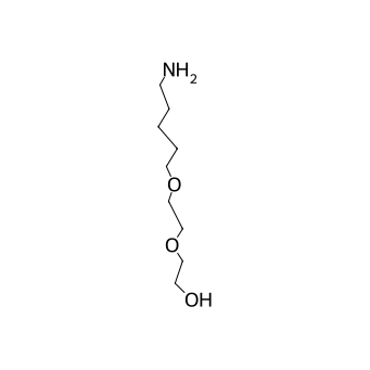 NCCCCCOCCOCCO